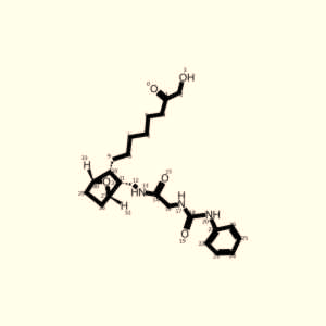 O=C(CO)CCCCCC[C@@H]1[C@H](CNC(=O)CNC(=O)Nc2ccccc2)[C@@H]2CC[C@H]1O2